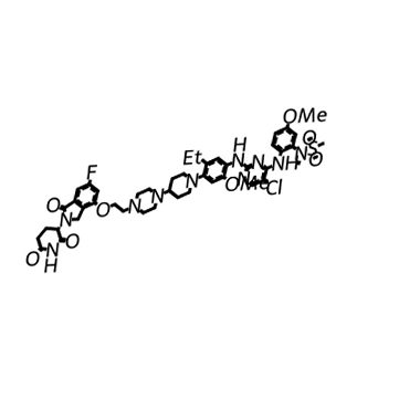 CCc1cc(Nc2ncc(Cl)c(Nc3ccc(OC)cc3N(C)S(C)(=O)=O)n2)c(OC)cc1N1CCC(N2CCN(CCOc3cc(F)cc4c3CN(C3CCC(=O)NC3=O)C4=O)CC2)CC1